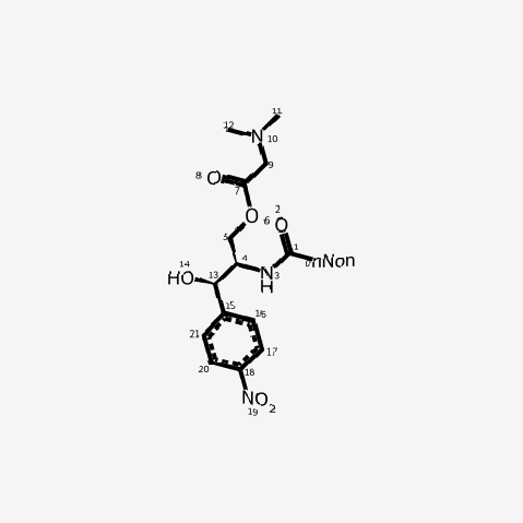 CCCCCCCCCC(=O)N[C@H](COC(=O)CN(C)C)[C@H](O)c1ccc([N+](=O)[O-])cc1